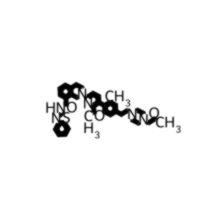 CC(=O)CN1CCN(CCc2ccc(-c3ccc(N4CCc5cccc(C(=O)Nc6nc7ccccc7s6)c5C4)nc3C(C)=O)c(C)c2)CC1